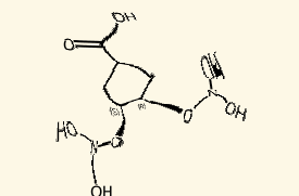 O=C(O)C1C[C@H](ON(O)O)[C@H](ON(O)O)C1